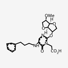 CO[C@@H]1CO[C@H]2[C@@H]1OC[C@H]2Oc1ncc(NCCCc2ccccc2)c(=O)n1CC(=O)O